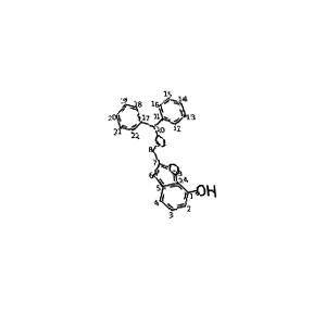 Oc1cccc2cc(COC(c3ccccc3)c3ccccc3)oc12